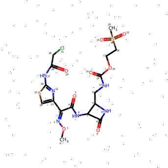 CO/N=C(\C(=O)NC1C(=O)NC1CNC(=O)OCCS(C)(=O)=O)c1csc(NC(=O)CCl)n1